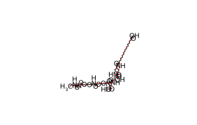 CCCNC(=O)CNC(=O)COCCOCCNC(=O)COCCOCCNC(=O)[C@H](CCC(=O)O)NC(=O)CC[C@H](NC(=O)C1CCC(CNC(=O)CCCCCCCCCCCCCCCCCCC(=O)O)CC1)C(=O)O